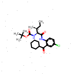 CC[C@H](C)[C@H](NC(=O)OC(C)(C)C)C(=O)Nc1ccc(Cl)cc1C(=O)C1CCCCC1